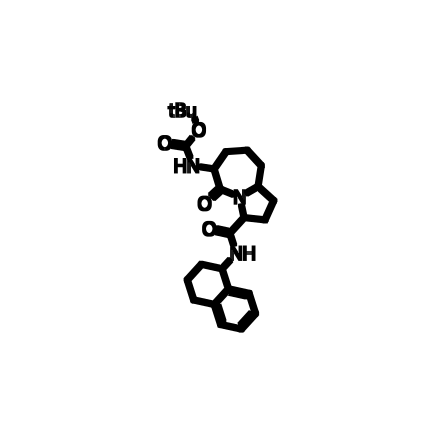 CC(C)(C)OC(=O)NC1CCCC2CCC(C(=O)NC3CCCc4ccccc43)N2C1=O